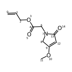 C=CCOC(=O)CN1CC(OC)=CC1=O